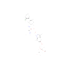 CC(=O)c1cn(CC(=O)N2CCC[C@H]2C(=O)Nc2cccc(-c3ccccc3Cl)c2F)c2ccc(OCCS(=O)(=O)CC3(C)COC3)cc12